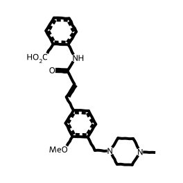 COc1cc(C=CC(=O)Nc2ccccc2C(=O)O)ccc1CN1CCN(C)CC1